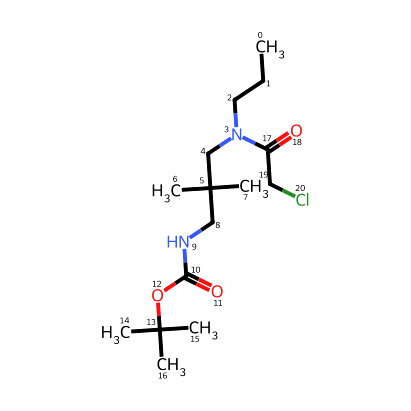 CCCN(CC(C)(C)CNC(=O)OC(C)(C)C)C(=O)CCl